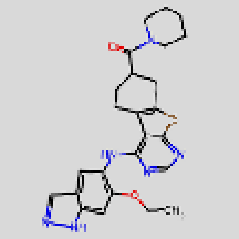 CCOc1cc2[nH]ncc2cc1Nc1ncnc2sc3c(c12)CCC(C(=O)N1CCCCC1)C3